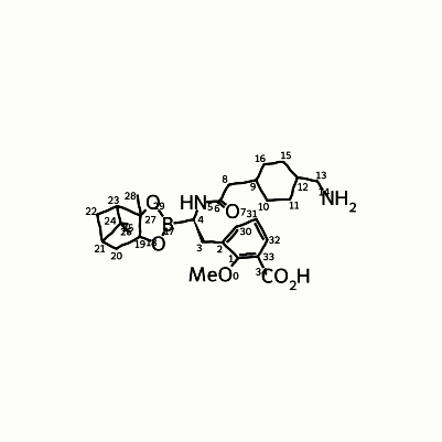 COc1c(C[C@H](NC(=O)CC2CCC(CN)CC2)B2OC3CC4CC(C4(C)C)C3(C)O2)cccc1C(=O)O